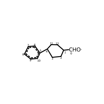 O=[C]C1CCC(c2ccccc2)CC1